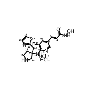 Cl.Cl.O=C(/C=C/c1cnc(N[C@@]2(Cc3nccs3)CCNC2)c(F)c1)NO